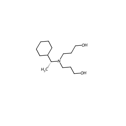 C[C@H](C1CCCCC1)N(CCCO)CCCO